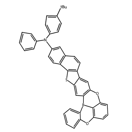 CC(C)(C)c1ccc(N(c2ccccc2)c2ccc3c(ccc4c5cc6c(cc5sc34)B3c4ccccc4Oc4cccc(c43)O6)c2)cc1